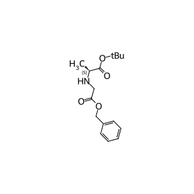 C[C@H](NCC(=O)OCc1ccccc1)C(=O)OC(C)(C)C